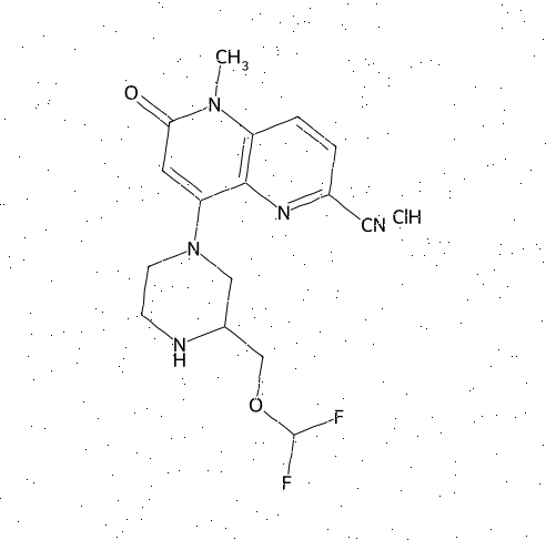 Cl.Cn1c(=O)cc(N2CCNC(COC(F)F)C2)c2nc(C#N)ccc21